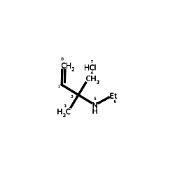 C=CC(C)(C)NCC.Cl